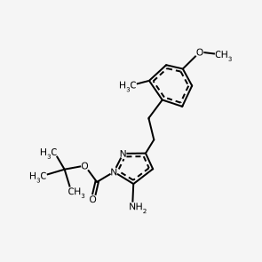 COc1ccc(CCc2cc(N)n(C(=O)OC(C)(C)C)n2)c(C)c1